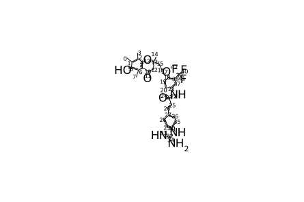 Cc1c(C)c2c(c(C)c1O)C(=O)CC(C)(CCOc1ccc(NC(=O)C=Cc3ccc(NC(=N)N)cc3)cc1C(F)(F)F)O2